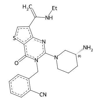 C=C(NCC)c1csc2c(=O)n(Cc3ccccc3C#N)c(N3CCC[C@@H](N)C3)nc12